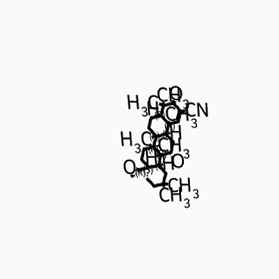 CC1(C)CC[C@]2([C@@H]3CO3)CC[C@]3(C)[C@H](C(=O)C[C@@H]4[C@@]5(C)C=C(C#N)C(=O)C(C)(C)[C@@H]5CC[C@]43C)[C@@H]2C1